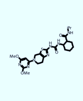 COc1cc(N2CCc3nc(NC(=O)NC4CCCCC4C(=O)NC(C)C)sc3C2)nc(OC)n1